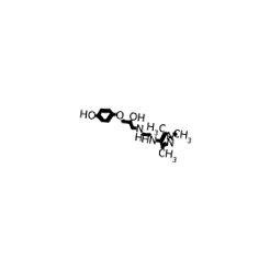 Cc1nn(C)c(C)c1NCCNCC(O)COc1ccc(O)cc1